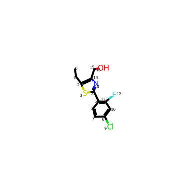 CCc1sc(-c2ccc(Cl)cc2F)nc1CO